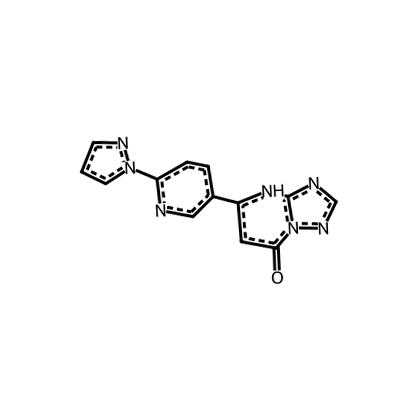 O=c1cc(-c2ccc(-n3cccn3)nc2)[nH]c2ncnn12